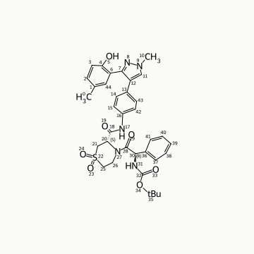 Cc1ccc(O)c(-c2nn(C)cc2-c2ccc(NC(=O)[C@H]3CS(=O)(=O)CCN3C(=O)[C@H](NC(=O)OC(C)(C)C)c3ccccc3)cc2)c1